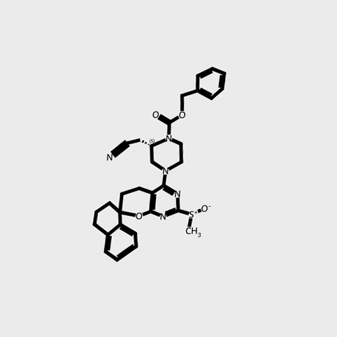 C[S+]([O-])c1nc2c(c(N3CCN(C(=O)OCc4ccccc4)[C@@H](CC#N)C3)n1)CCC1(CCCc3ccccc31)O2